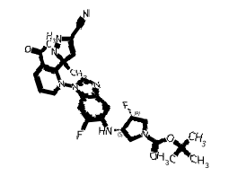 CC(=O)C1=C(C2(C)C=C(C#N)N=N2)N(n2cnc3cc(N[C@H]4CN(C(=O)OC(C)(C)C)C[C@H]4F)c(F)cc32)CC=C1